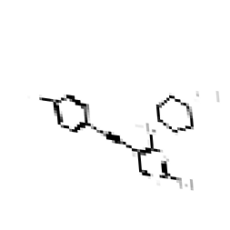 Nc1ncc(C#Cc2ccc(Cl)cc2)c(N[C@H]2CC[C@@H](O)CC2)n1